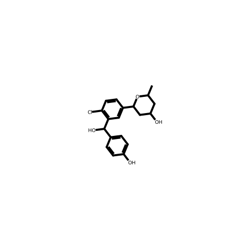 CC1CC(O)CC(c2ccc(Cl)c(C(O)c3ccc(O)cc3)c2)O1